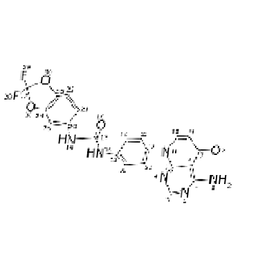 Nc1ncnc2c1c(=O)ccn2-c1ccc(NC(=O)Nc2ccc3c(c2)OC(F)(F)O3)cc1